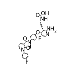 Nc1nccc(Oc2ccc(NC(=O)c3cccn(-c4ccc(F)cc4)c3=O)cc2F)c1C#CCNC(=O)O